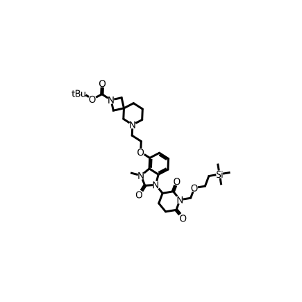 Cn1c(=O)n(C2CCC(=O)N(COCC[Si](C)(C)C)C2=O)c2cccc(OCCN3CCCC4(C3)CN(C(=O)OC(C)(C)C)C4)c21